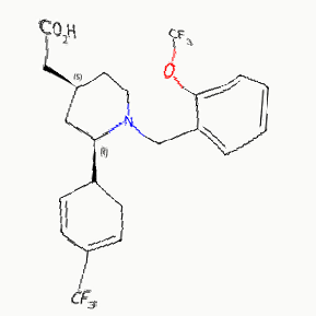 O=C(O)C[C@H]1CCN(Cc2ccccc2OC(F)(F)F)[C@@H](C2C=CC(C(F)(F)F)=CC2)C1